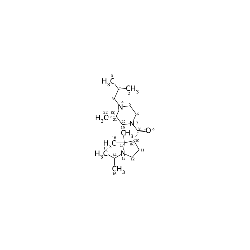 CC(C)CN1CCN(C(=O)[C@@H]2CCN(C(C)C)C2(C)C)C[C@@H]1C